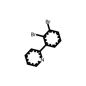 Brc1cccc(-c2cc[c]cn2)c1Br